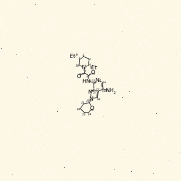 CC[C@@H]1CC[C@H](CC)N(C(=O)C(=O)Nc2ncc(N)c3cn(C4CCCCO4)nc23)C1